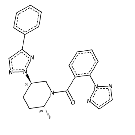 C[C@@H]1CC[C@@H](n2ncc(-c3ccccc3)n2)CN1C(=O)c1ccccc1-n1nccn1